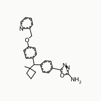 CC1(C(c2ccc(OCc3ccccn3)cc2)c2ccc(-c3nnc(N)o3)cc2)CCC1